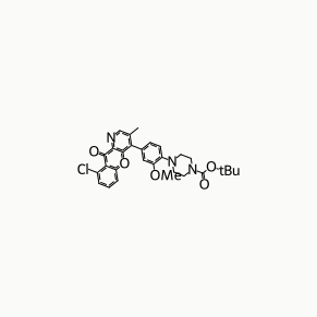 COc1cc(-c2c(C)cnc3c(=O)c4c(Cl)cccc4oc23)ccc1N1CCN(C(=O)OC(C)(C)C)CC1